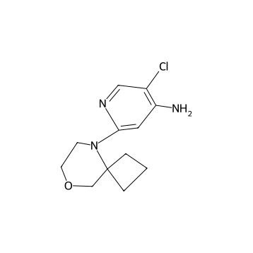 Nc1cc(N2CCOCC23CCC3)ncc1Cl